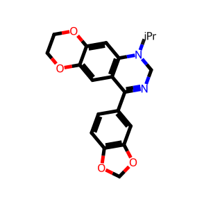 CC(C)N1CN=C(c2ccc3c(c2)OCO3)c2cc3c(cc21)OCCO3